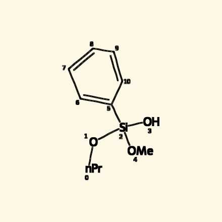 CCCO[Si](O)(OC)c1ccccc1